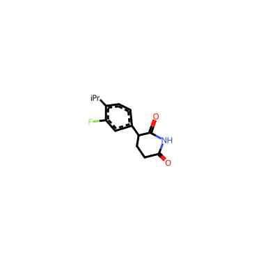 CC(C)c1ccc(C2CCC(=O)NC2=O)cc1F